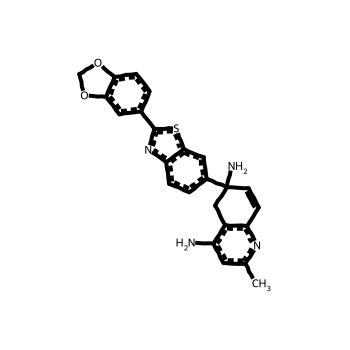 Cc1cc(N)c2c(n1)C=CC(N)(c1ccc3nc(-c4ccc5c(c4)OCO5)sc3c1)C2